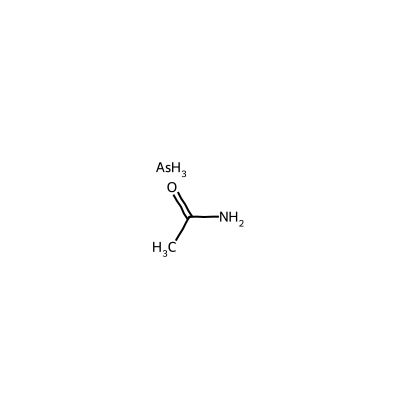 CC(N)=O.[AsH3]